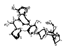 Cc1c(-c2cc(O[C@H](C)c3ccccn3)n3c(C#N)cnc3c2)cnn1C1CN(C2CC3CCC2N3C(=O)OC(C)(C)C)C1